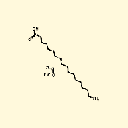 CCCCCCCCCCCCCCCCCC(=O)O.O=N[O-].[Na+]